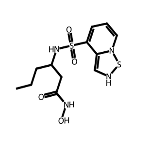 CCCC(CC(=O)NO)NS(=O)(=O)C1=CC=CN2SNC=C12